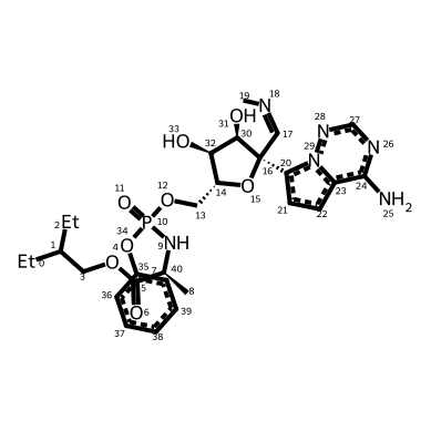 CCC(CC)COC(=O)[C@H](C)NP(=O)(OC[C@H]1O[C@@](/C=N\C)(c2ccc3c(N)ncnn23)[C@H](O)[C@@H]1O)Oc1ccccc1